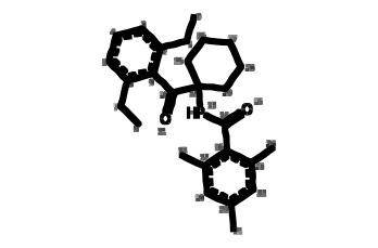 CCc1cccc(CC)c1C(=O)C1(PC(=O)c2c(C)cc(C)cc2C)CCCCC1